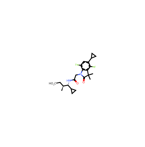 C[C@@H](CC(=O)O)[C@H](NC(=O)CN1C(=O)C(C)(C)c2c(F)c(C3CC3)cc(F)c21)C1CC1